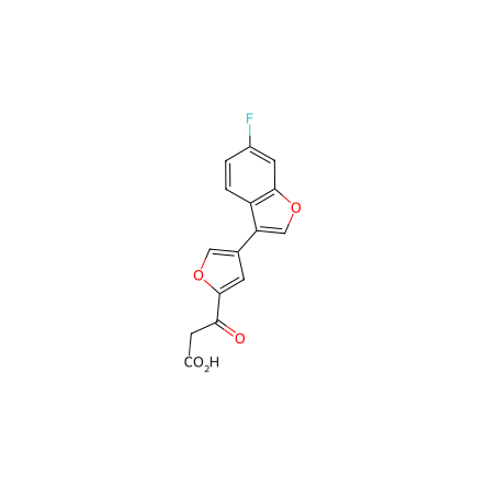 O=C(O)CC(=O)c1cc(-c2coc3cc(F)ccc23)co1